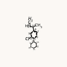 CNC(C)c1ccc(C2CCCCC2)c(Cl)c1